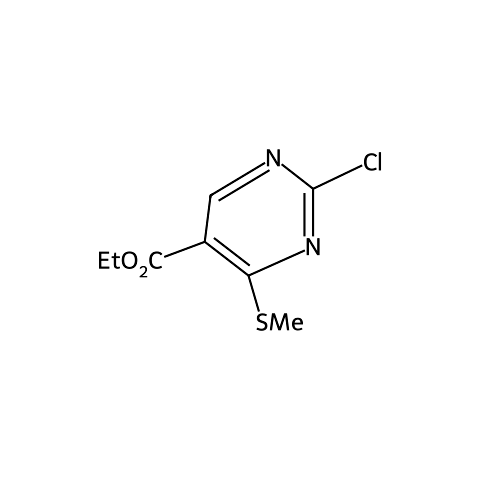 CCOC(=O)c1cnc(Cl)nc1SC